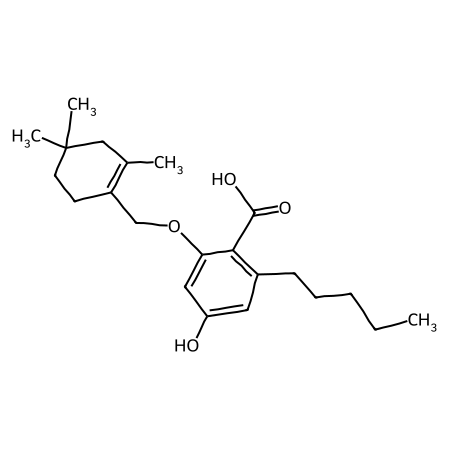 CCCCCc1cc(O)cc(OCC2=C(C)CC(C)(C)CC2)c1C(=O)O